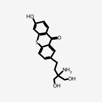 NC(CO)(CO)CCc1ccc2sc3cc(O)ccc3c(=O)c2c1